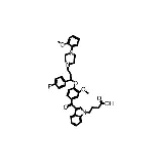 COc1cc(C(=O)c2cn(CCCC(=O)O)c3ccccc23)ccc1OC(CCN1CCN(c2ccccc2OC)CC1)c1ccc(F)cc1